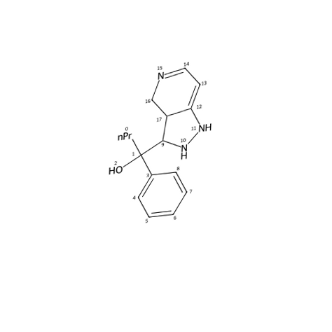 CCCC(O)(c1ccccc1)C1NNC2=CC=NCC21